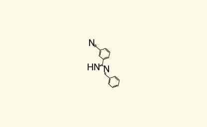 N#Cc1cccc(C(=N)/N=C/c2ccccc2)c1